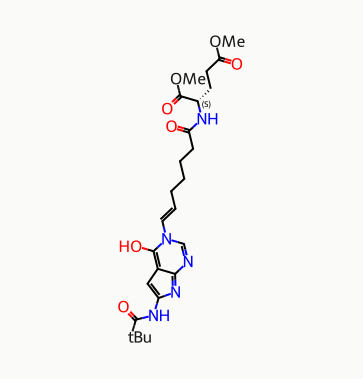 COC(=O)CC[C@H](NC(=O)CCCCC=Cn1cnc2nc(NC(=O)C(C)(C)C)cc-2c1O)C(=O)OC